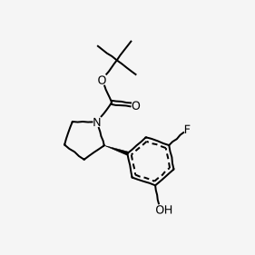 CC(C)(C)OC(=O)N1CCC[C@@H]1c1cc(O)cc(F)c1